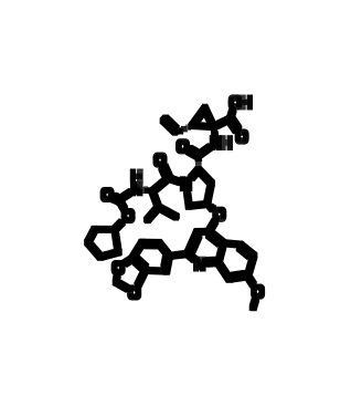 C=C[C@@H]1C[C@]1(NC(=O)[C@@H]1C[C@@H](Oc2cc(-c3ccc4c(c3)OCO4)nc3cc(OC)ccc23)CN1C(=O)[C@@H](NC(=O)OC1CCCC1)C(C)C)C(=O)O